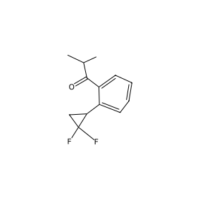 CC(C)C(=O)c1ccccc1C1CC1(F)F